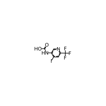 O=C(O)Nc1cnc(C(F)(F)F)cc1I